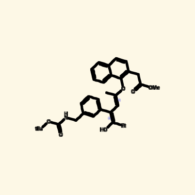 CC/C(O)=C(\C=C(/C)Oc1c(CC(=O)OC)ccc2ccccc12)c1cccc(CNC(=O)OC(C)(C)C)c1